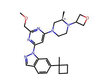 COCc1nc(N2CCN(C3COC3)[C@H](C)C2)cc(-n2ncc3ccc(C4(C)CCC4)cc32)n1